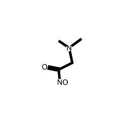 CN(C)CC(=O)N=O